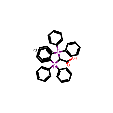 O=C(O)C([PH](c1ccccc1)(c1ccccc1)c1ccccc1)[PH](c1ccccc1)(c1ccccc1)c1ccccc1.[Pd]